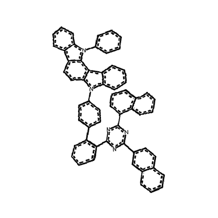 c1ccc(-n2c3ccccc3c3ccc4c(c5ccccc5n4-c4ccc(-c5ccccc5-c5nc(-c6ccc7ccccc7c6)nc(-c6cccc7ccccc67)n5)cc4)c32)cc1